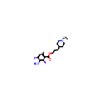 CN1CCC(CCCOC(=O)c2c(I)cc(I)c(N)c2I)CC1